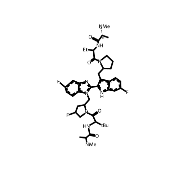 CCC(NC(=O)[C@@H](C)NC)C(=O)N1CCCC1Cc1c(-c2nc3cc(F)ccc3n2CC2CC(F)CN2C(=O)C(NC(=O)C(C)NC)C(C)(C)C)[nH]c2cc(F)ccc12